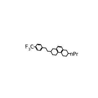 CCCC1CCc2c(ccc3c2CCC(CCc2ccc(C(F)(F)F)cc2)C3)C1